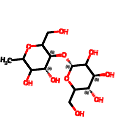 CC1OC(CO)[C@@H](O[C@H]2OC(CO)[C@@H](O)[C@H](O)C2O)[C@H](O)C1O